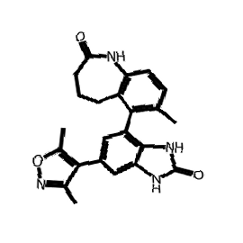 Cc1ccc2c(c1-c1cc(-c3c(C)noc3C)cc3[nH]c(=O)[nH]c13)CCCC(=O)N2